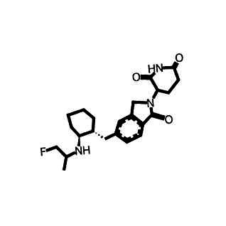 CC(CF)N[C@H]1CCCC[C@@H]1Cc1ccc2c(c1)CN(C1CCC(=O)NC1=O)C2=O